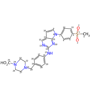 CS(=O)(=O)c1ccc(-n2ccc3cnc(Nc4ccc(CN5CCN(C(=O)O)CC5)cc4)nc32)cc1